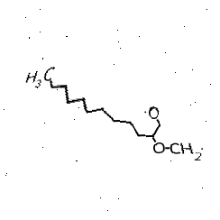 [CH2]OC(C[O])CCCCCCCCCC